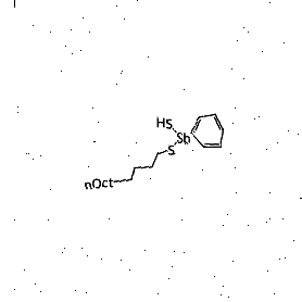 CCCCCCCCCCCC[S][Sb]([SH])[c]1ccccc1